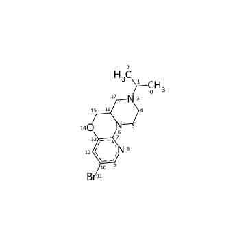 CC(C)N1CCN2c3ncc(Br)cc3OCC2C1